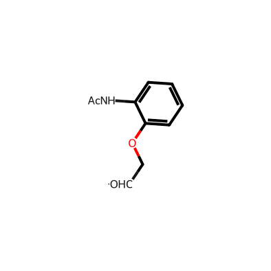 CC(=O)Nc1ccccc1OC[C]=O